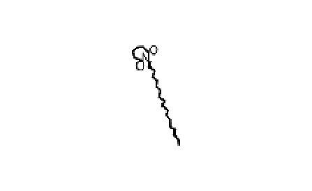 CCCCCCCCCCCCCCCCCCN1C(=O)CCCCC1=O